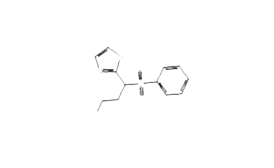 CCC[C](c1ncc[nH]1)S(=O)(=O)c1ccccc1